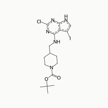 CC(C)(C)OC(=O)N1CCC(CNc2nc(Cl)nc3[nH]cc(I)c23)CC1